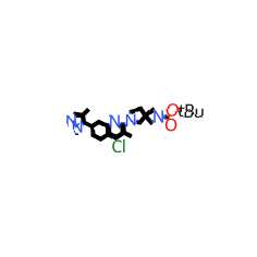 Cc1cnn(C)c1C1CCc2c(nc(N3CCC4(CN(C(=O)OC(C)(C)C)C4)C3)c(C)c2Cl)C1